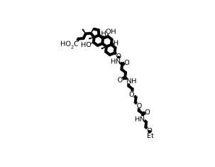 CCOCCNC(=O)COCCOCCNC(=O)CCC(=O)NOC1CC[C@]2(C)C3C[C@H](O)[C@@]4(C)C(CC[C@@H]4[C@H](C)CCC(=O)O)[C@@H]3[C@H](O)C[C@@H]2C1